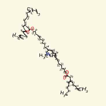 CCCCCC(CCCCC)CC(=O)OCCCCCCCCCCC(CCCCCCCCCCOC(=O)CC(CCCCC)CCCCC)CN(C)C